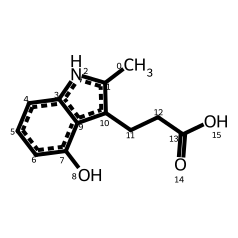 Cc1[nH]c2cccc(O)c2c1CCC(=O)O